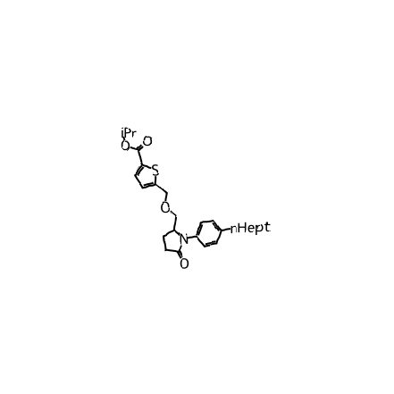 CCCCCCCc1ccc(N2C(=O)CCC2COCc2ccc(C(=O)OC(C)C)s2)cc1